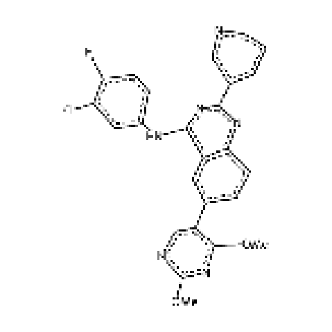 COc1ncc(-c2ccc3nc(-c4cccnc4)nc(Nc4ccc(F)c(Cl)c4)c3c2)c(OC)n1